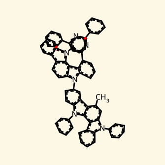 Cc1cc2c(c3ccccc3n2-c2ccccc2)c2c1c1cc(-n3c4cccc(-c5cc(-c6ccccc6)nc(-c6ccccc6)n5)c4c4c3ccc3c5ccccc5n(-c5ccccc5)c34)ccc1n2-c1ccccc1